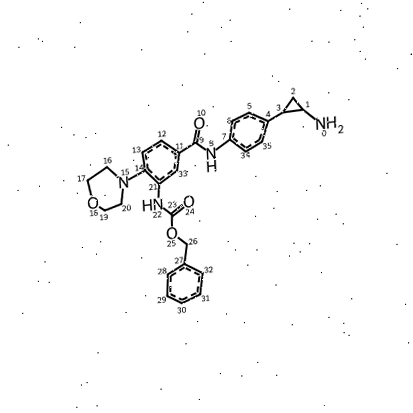 NC1CC1c1ccc(NC(=O)c2ccc(N3CCOCC3)c(NC(=O)OCc3ccccc3)c2)cc1